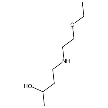 CCOCCNCCC(C)O